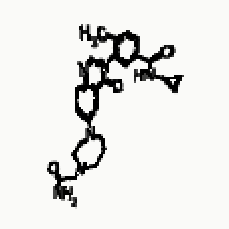 Cc1ccc(C(=O)NC2CC2)cc1-n1cnc2ccc(N3CCCN(CC(N)=O)CC3)cc2c1=O